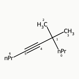 [CH2]CCC(C)(C)C#CCCC